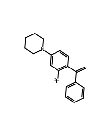 [2H]c1cc(N2CCCCC2)ccc1C(=C)c1ccccc1